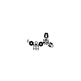 O=C(Nc1ccc(F)cc1)Nc1ccc(-c2nc(N3CCOCC3)nc(N3CC4CCC(C3)O4)n2)cc1